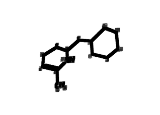 CC1=CCCC(CC2CCCCC2)N1